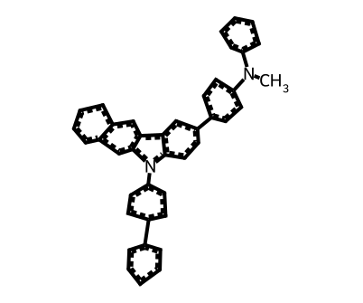 CN(c1ccccc1)c1ccc(-c2ccc3c(c2)c2cc4ccccc4cc2n3-c2ccc(-c3ccccc3)cc2)cc1